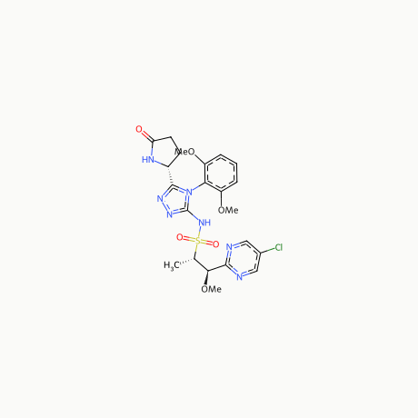 COc1cccc(OC)c1-n1c(NS(=O)(=O)[C@@H](C)[C@H](OC)c2ncc(Cl)cn2)nnc1[C@H]1CCC(=O)N1